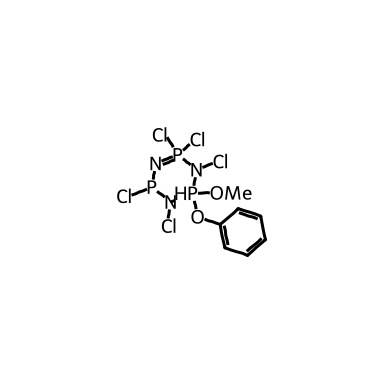 CO[PH]1(Oc2ccccc2)N(Cl)P(Cl)N=P(Cl)(Cl)N1Cl